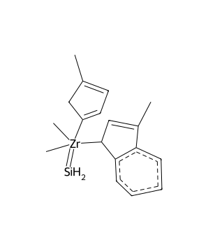 CC1=CC=[C]([Zr]([CH3])([CH3])(=[SiH2])[CH]2C=C(C)c3ccccc32)C1